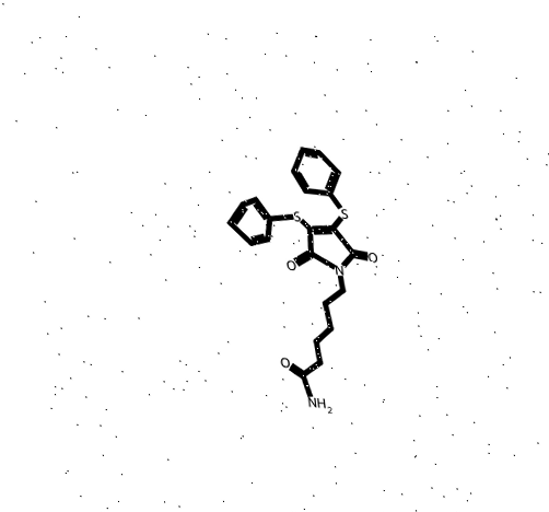 NC(=O)CCCCCN1C(=O)C(Sc2ccccc2)=C(Sc2ccccc2)C1=O